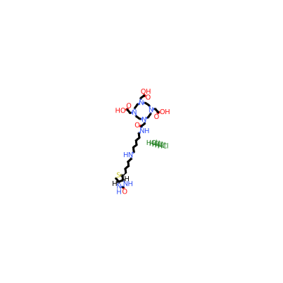 Cl.Cl.Cl.Cl.Cl.O=C(O)CN1CCN(CC(=O)O)CCN(CC(=O)NCCCCCCNCCCCC[C@@H]2SC[C@@H]3NC(=O)N[C@@H]32)CCN(CC(=O)O)CC1